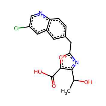 CC(O)c1nc(Cc2ccc3ncc(Cl)cc3c2)oc1C(=O)O